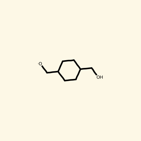 [O]CC1CCC(CO)CC1